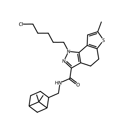 Cc1cc2c(s1)CCc1c(C(=O)NCC3CCC4CC3C4(C)C)nn(CCCCCCl)c1-2